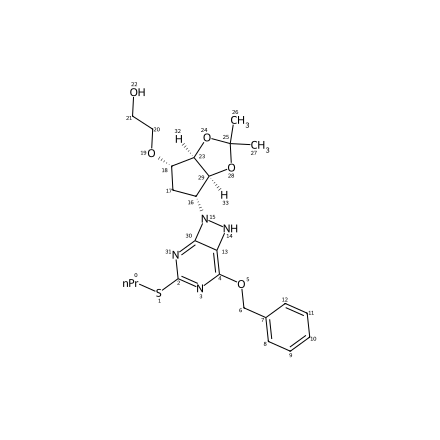 CCCSc1nc(OCc2ccccc2)c2[nH]n([C@@H]3C[C@H](OCCO)[C@H]4OC(C)(C)O[C@H]43)c2n1